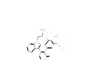 COc1cc(/C(C(N)=O)=C(/C=O)c2cn(CCN(C)C)c3ccccc23)cc(OC)c1OC